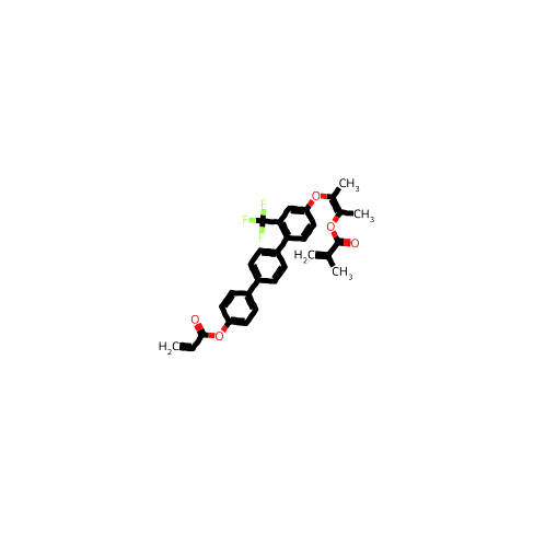 C=CC(=O)Oc1ccc(-c2ccc(-c3ccc(OC(C)=C(C)OC(=O)C(=C)C)cc3C(F)(F)F)cc2)cc1